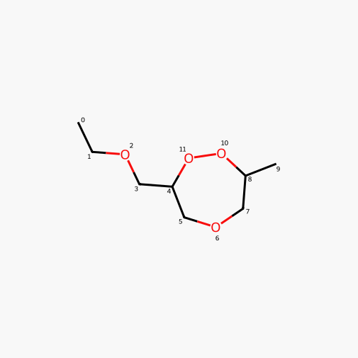 CCOCC1COCC(C)OO1